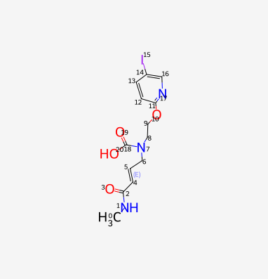 CNC(=O)/C=C/CN(CCOc1ccc(I)cn1)C(=O)O